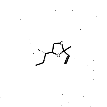 C=CC1(C)OCC([C@@H](C)CC)O1